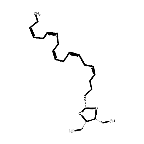 CC/C=C\C/C=C\C/C=C\C/C=C\C/C=C\CCC[C@H]1O[C@@H](CO)[C@@H](CO)O1